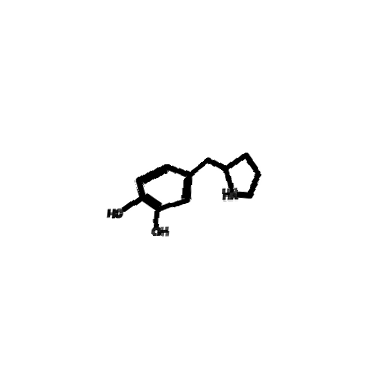 Oc1ccc(CC2CCCN2)cc1O